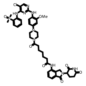 COc1cc(N2CCN(C(=O)CCCCCC(=O)Nc3cccc4c3CN(C3CCC(=O)NC3=O)C4=O)CC2)ccc1Nc1ncc(Cl)c(Nc2ccccc2P(C)(C)=O)n1